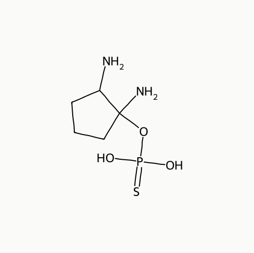 NC1CCCC1(N)OP(O)(O)=S